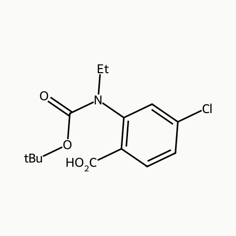 CCN(C(=O)OC(C)(C)C)c1cc(Cl)ccc1C(=O)O